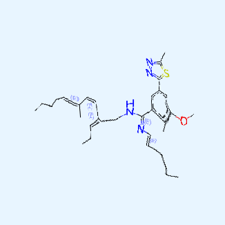 CC/C=C(/C=C\C(C)=C\CCC)CN/C(=N/C=C/CCC)c1cc(-c2nnc(C)s2)cc(OC)c1C